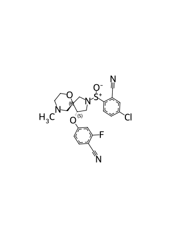 CN1CCO[C@]2(C1)CN([S+]([O-])c1ccc(Cl)cc1C#N)C[C@@H]2Oc1ccc(C#N)c(F)c1